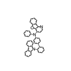 c1ccc(N(c2ccc(-c3ccccc3-n3c4ccccc4c4ccccc43)cc2)c2ccnc3c2oc2ccccc23)cc1